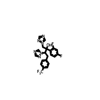 OC(Cn1cncn1)(c1ccc(F)cc1F)C(Cc1ccc(C(F)(F)F)cc1)n1cncn1